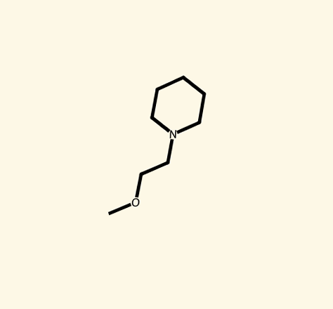 COCCN1CCCCC1